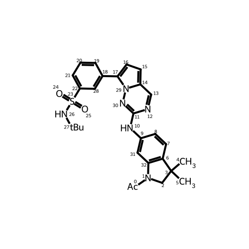 CC(=O)N1CC(C)(C)c2ccc(Nc3ncc4ccc(-c5cccc(S(=O)(=O)NC(C)(C)C)c5)n4n3)cc21